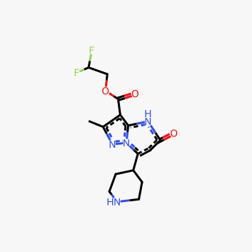 Cc1nn2c(C3CCNCC3)cc(=O)[nH]c2c1C(=O)OCC(F)F